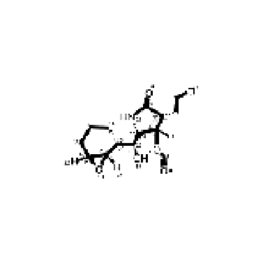 C[C@]1(OC=O)[C@@H](CCCl)C(=O)N[C@H]1[C@@H](O)[C@H]1CCC[C@H]2O[C@@H]12